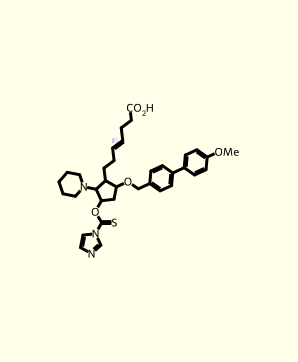 COc1ccc(-c2ccc(COC3CC(OC(=S)n4ccnc4)C(N4CCCCC4)C3CC/C=C/CCC(=O)O)cc2)cc1